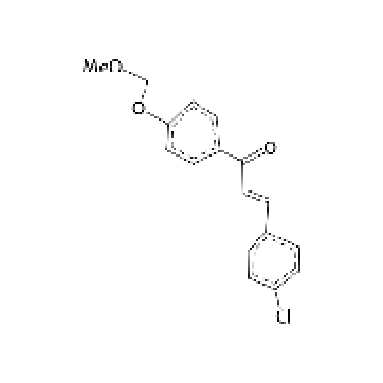 COCOc1ccc(C(=O)C=Cc2ccc(Cl)cc2)cc1